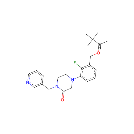 C[SiH](OCc1cccc(N2CCN(Cc3cccnc3)C(=O)C2)c1F)C(C)(C)C